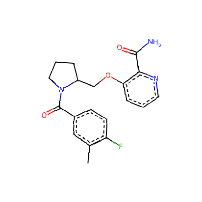 Cc1cc(C(=O)N2CCCC2COc2cccnc2C(N)=O)ccc1F